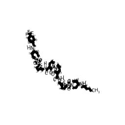 CCCCCCNC1CCN(S(=O)(=O)c2ccc(CNC(=O)c3cccn(-n4cccc(C(=O)NCc5ccc(S(=O)(=O)N6CCC(NCc7ccc(C(F)(F)F)cc7)CC6)s5)c4=O)c3=O)s2)CC1